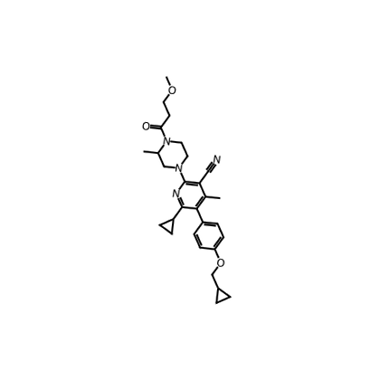 COCCC(=O)N1CCN(c2nc(C3CC3)c(-c3ccc(OCC4CC4)cc3)c(C)c2C#N)CC1C